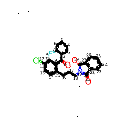 O=C(c1ccccc1F)c1cc(Cl)ccc1CCCN1C(=O)c2ccccc2C1=O